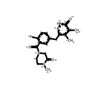 Cc1c(Cc2ccc(F)c(C(=O)N3CCN(C)C(=O)C3)c2)n[nH]c(=O)c1C